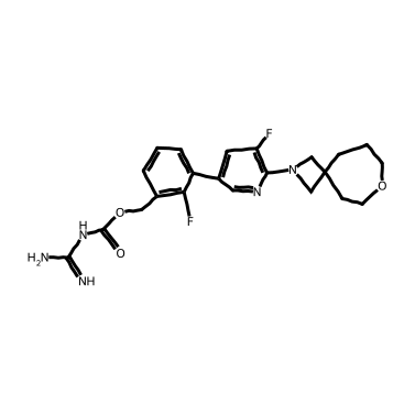 N=C(N)NC(=O)OCc1cccc(-c2cnc(N3CC4(CCCOCC4)C3)c(F)c2)c1F